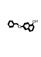 Oc1cccc2cc(OCc3ccccc3)ccc12